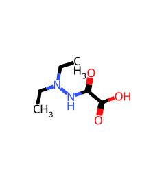 CCN(CC)NC(=O)C(=O)O